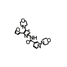 O=C(Nc1nc(-c2ccco2)c(N2CCOCC2)s1)c1ccnc(N2CCOCC2)c1